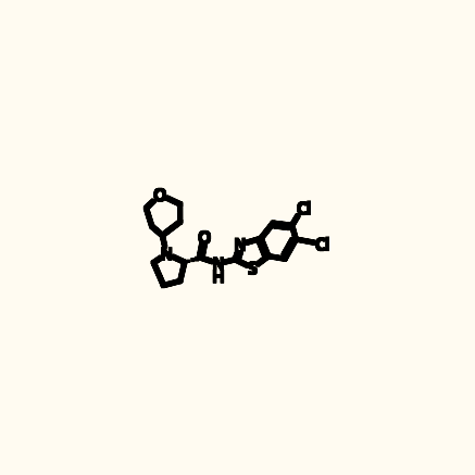 O=C(Nc1nc2cc(Cl)c(Cl)cc2s1)[C@@H]1CCCN1C1CCOCC1